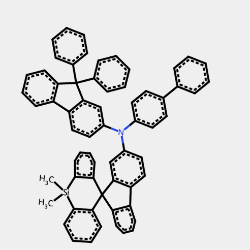 C[Si]1(C)c2ccccc2C2(c3ccccc3-c3ccc(N(c4ccc(-c5ccccc5)cc4)c4ccc5c(c4)C(c4ccccc4)(c4ccccc4)c4ccccc4-5)cc32)c2ccccc21